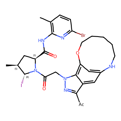 CC(=O)c1nn(CC(=O)N2[C@H](I)[C@@H](C)C[C@H]2C(=O)Nc2nc(Br)ccc2C)c2c3cc(cc12)NCCCCCO3